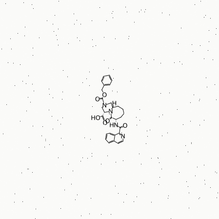 O=C(N[C@H]1CCCC[C@H]2CN(C(=O)OCc3ccccc3)C[C@@H](C(=O)O)N2C1=O)c1nccc2ccccc12